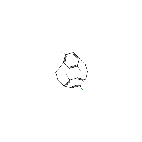 Cc1cc2c(Cl)cc1CCc1cc(Cl)c(cc1Cl)CC2